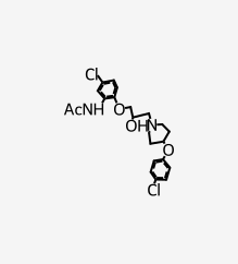 CC(=O)Nc1cc(Cl)ccc1OCC(O)CN1CCC(Oc2ccc(Cl)cc2)CC1